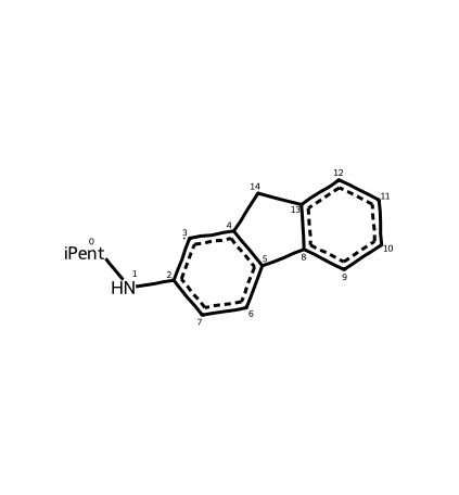 CCCC(C)Nc1[c]c2c(cc1)-c1ccccc1C2